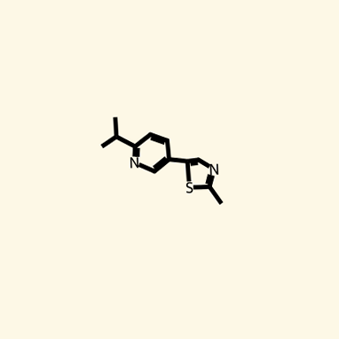 Cc1ncc(-c2ccc(C(C)C)nc2)s1